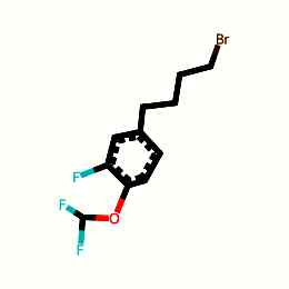 Fc1cc(CCCCBr)ccc1OC(F)F